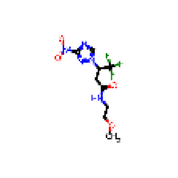 COCCNC(=O)CC(n1cnc([N+](=O)[O-])n1)C(F)(F)F